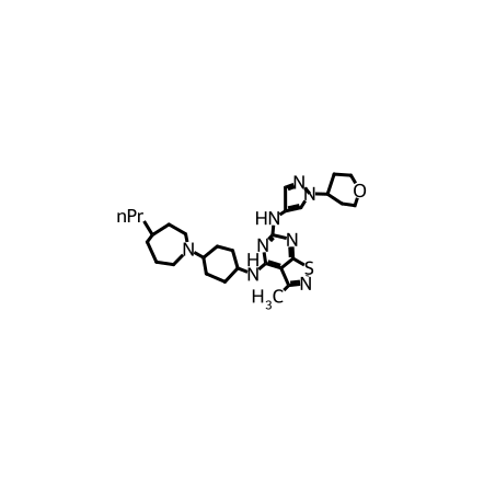 CCCC1CCCN(C2CCC(Nc3nc(Nc4cnn(C5CCOCC5)c4)nc4snc(C)c34)CC2)CC1